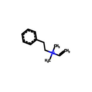 C=C[N+](C)(C)CCc1ccccc1